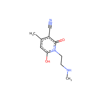 CNCCn1c(O)cc(C)c(C#N)c1=O